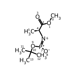 COC(=O)[C@H](C)N=[P+]([O-])OC(C)(C)C